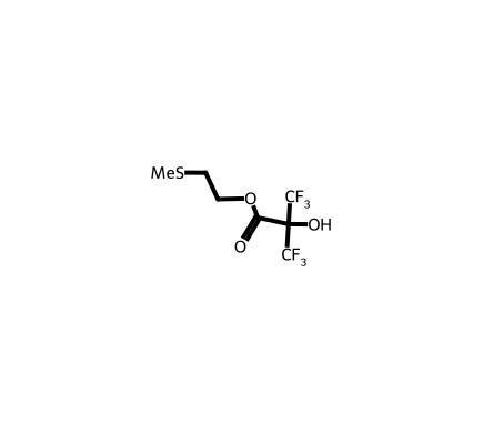 CSCCOC(=O)C(O)(C(F)(F)F)C(F)(F)F